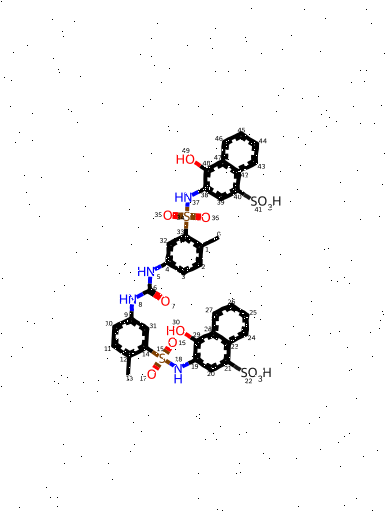 Cc1ccc(NC(=O)Nc2ccc(C)c(S(=O)(=O)Nc3cc(S(=O)(=O)O)c4ccccc4c3O)c2)cc1S(=O)(=O)Nc1cc(S(=O)(=O)O)c2ccccc2c1O